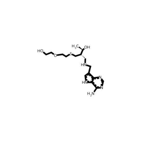 C[C@@H](O)[C@H](CNCc1c[nH]c2c(N)ncnc12)CSCCOCCO